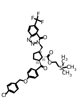 C[Si](C)(C)CCOC(=O)[C@H]1[C@H](Cn2nnc3ccc(C(F)(F)F)cc3c2=O)CC[C@@H]1C(=O)c1ccc(OCc2ccc(Cl)cc2)cc1